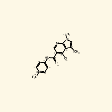 Cc1cn(C)c2ncc(C(=O)Nc3ccc(C(F)(F)F)cc3)c(Cl)c12